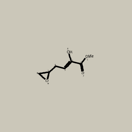 COC(=O)C(O)=CCC1CO1